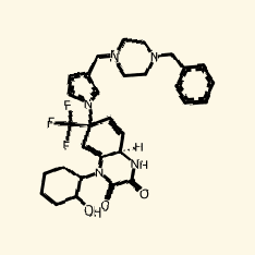 O=C1N[C@@H]2C=C[C@](n3ccc(CN4CCN(Cc5ccccc5)CC4)c3)(C(F)(F)F)C=C2N(C2CCCCC2O)C1=O